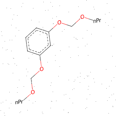 CCCOCOc1[c]c(OCOCCC)ccc1